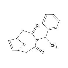 C[C@@H](c1ccccc1)N1C(=O)CC2C=CC(CC1=O)O2